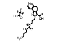 CCCCNC(=O)NCCCn1nc2c(c1C(=O)O)CCc1cnccc1-2.O=C(O)C(F)(F)F